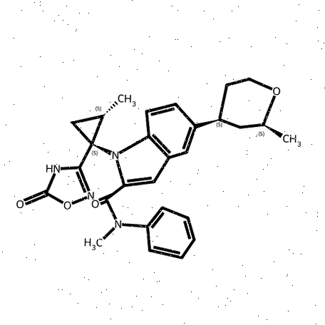 C[C@H]1C[C@@H](c2ccc3c(c2)cc(C(=O)N(C)c2ccccc2)n3[C@@]2(c3noc(=O)[nH]3)C[C@@H]2C)CCO1